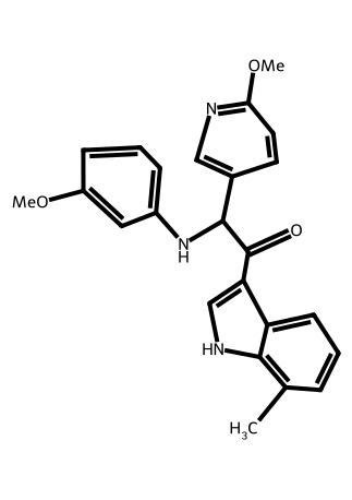 COc1cccc(NC(C(=O)c2c[nH]c3c(C)cccc23)c2ccc(OC)nc2)c1